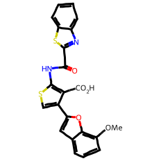 COc1cccc2cc(-c3csc(NC(=O)c4nc5ccccc5s4)c3C(=O)O)oc12